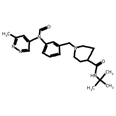 Cc1cc(N(C=O)c2cccc(CN3CCC(C(=O)NC(C)(C)C)CC3)c2)cnn1